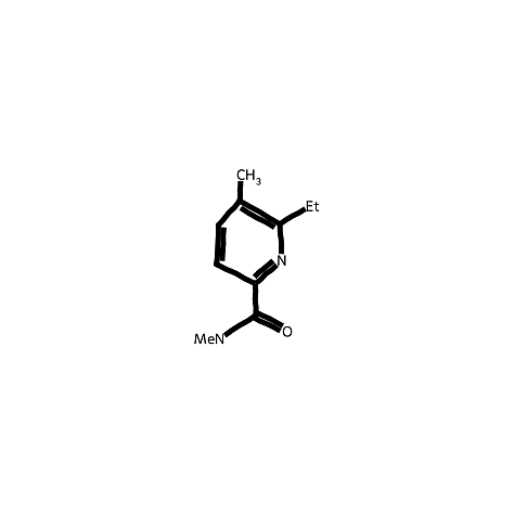 CCc1nc(C(=O)NC)ccc1C